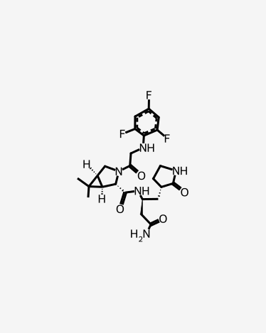 CC1(C)[C@@H]2[C@@H](C(=O)N[C@H](CC(N)=O)C[C@@H]3CCNC3=O)N(C(=O)CNc3c(F)cc(F)cc3F)C[C@@H]21